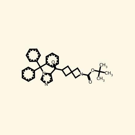 CC(C)(C)OC(=O)N1CC2(CC(C(=O)c3cncn3C(c3ccccc3)(c3ccccc3)c3ccccc3)C2)C1